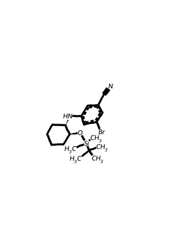 CC(C)(C)[Si](C)(C)O[C@H]1CCCC[C@@H]1Nc1cc(Br)cc(C#N)c1